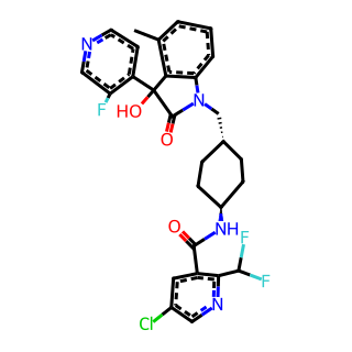 Cc1cccc2c1C(O)(c1ccncc1F)C(=O)N2C[C@H]1CC[C@H](NC(=O)c2cc(Cl)cnc2C(F)F)CC1